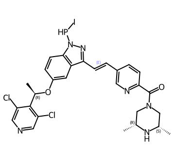 C[C@@H]1CN(C(=O)c2ccc(/C=C/c3nn(PI)c4ccc(O[C@H](C)c5c(Cl)cncc5Cl)cc34)cn2)C[C@H](C)N1